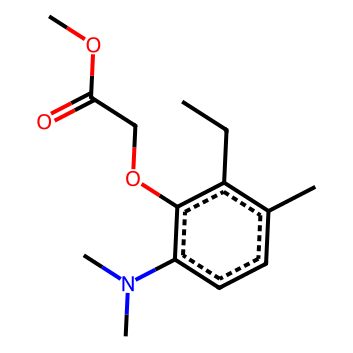 CCc1c(C)ccc(N(C)C)c1OCC(=O)OC